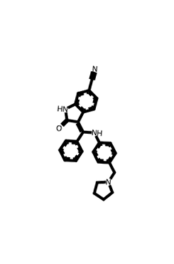 N#Cc1ccc2c(c1)NC(=O)C2=C(Nc1ccc(CN2CCCC2)cc1)c1ccccc1